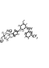 Cc1cc(Nc2nccc(C(F)(F)F)n2)cc(-c2cnc([C@@]3(O)CC[C@H](O)C(C)(C)C3)s2)c1